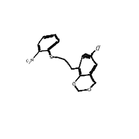 O=[N+]([O-])c1ccccc1SCCc1cc(Cl)cc2c1OCOC2